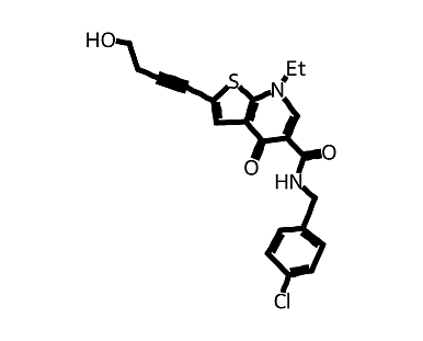 CCn1cc(C(=O)NCc2ccc(Cl)cc2)c(=O)c2cc(C#CCCO)sc21